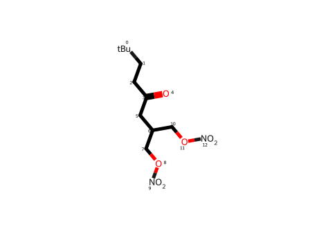 CC(C)(C)CCC(=O)CC(CO[N+](=O)[O-])CO[N+](=O)[O-]